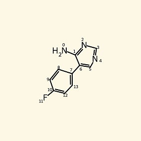 Nc1ncncc1-c1ccc(F)cc1